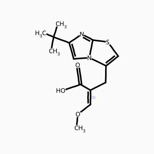 CO/C=C(/Cc1csc2nc(C(C)(C)C)cn12)C(=O)O